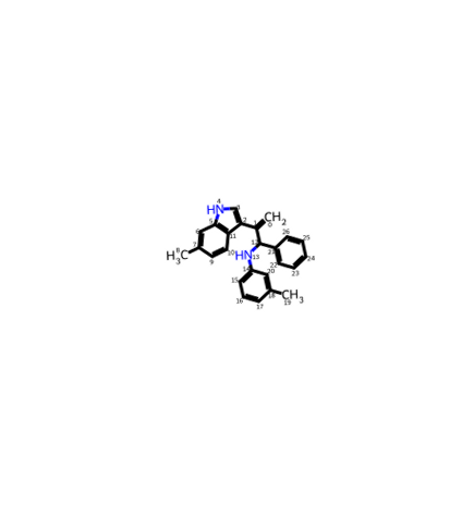 C=C(c1c[nH]c2cc(C)ccc12)C(Nc1cccc(C)c1)c1ccccc1